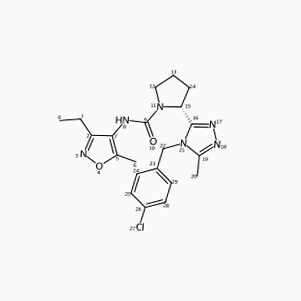 CCc1noc(C)c1NC(=O)N1CCC[C@@H]1c1nnc(C)n1Cc1ccc(Cl)cc1